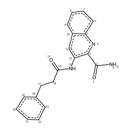 NC(=O)c1nc2ccccc2cc1NC(=O)[CH]Cc1ccccc1